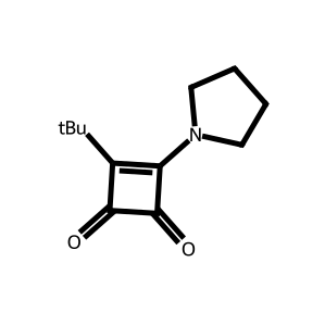 CC(C)(C)c1c(N2CCCC2)c(=O)c1=O